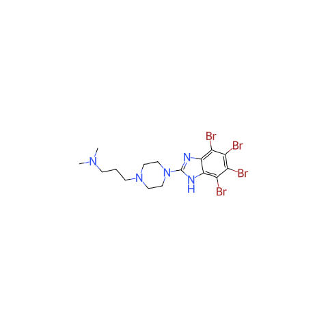 CN(C)CCCN1CCN(c2nc3c(Br)c(Br)c(Br)c(Br)c3[nH]2)CC1